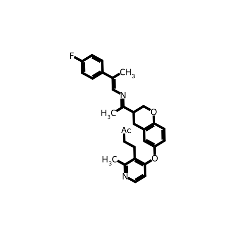 CC(=O)CCc1c(Oc2ccc3c(c2)CC(/C(C)=N/C=C(\C)c2ccc(F)cc2)CO3)ccnc1C